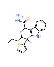 CCCC1CC(C(=O)NN)c2c([nH]c3ccccc23)C1(C)c1cccs1